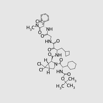 CN(C)C(=O)[C@@H](NC(=O)CNC(=O)C(=O)C(CC1CCC1)NC(=O)[C@@H]1[C@@H]2[C@H](CN1C(=O)[C@@H](NC(=O)OC(C)(C)C)C1CCCCC1)C2(Cl)Cl)c1ccccc1